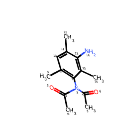 CC(=O)N(C(C)=O)c1c(C)cc(C)c(N)c1C